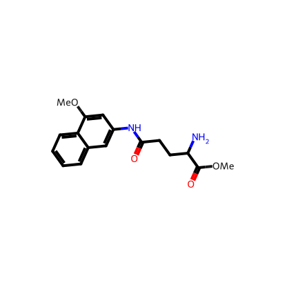 COC(=O)C(N)CCC(=O)Nc1cc(OC)c2ccccc2c1